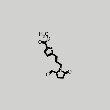 COC(=O)c1ccc(/C=C/CN2C(=O)CCC2C=O)s1